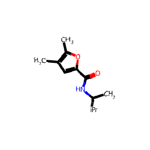 Cc1cc(C(=O)NC(C)C(C)C)oc1C